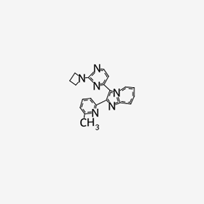 Cc1cccc(-c2nc3ccccn3c2-c2ccnc(N3CCC3)n2)n1